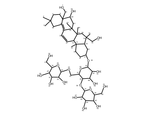 CC1(C)CCC2(CO)C(=C3C=CC4C5(C)CCC(OC6OC(COC7OC(CO)C(O)C(O)C7O)C(OC7OC(CO)C(O)C(O)C7O)C(O)C6O)CC5C(C)(CO)CC4(C)C3(C)CC2O)C1